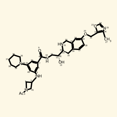 CC(=O)N1CC(Nc2cc(C(=O)NC[C@@H](O)[C@@H]3Cc4ccc(OCc5ocnc5C)cc4CN3)cc(N3CCCCC3)c2)C1